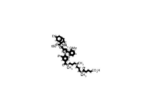 CCC1CC2CC(C)C(NC(=O)c3cc(-c4c(OC)cccc4OC)n(-c4ccc(C(=O)N(C)CCCN(C)CCCN(C)C(=O)CCCC(=O)O)cc4C(C)C)n3)(C(=O)OC(C)(C)C)C(C1)C2